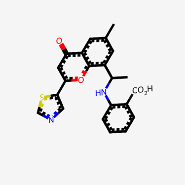 Cc1cc(C(C)Nc2ccccc2C(=O)O)c2oc(-c3cncs3)cc(=O)c2c1